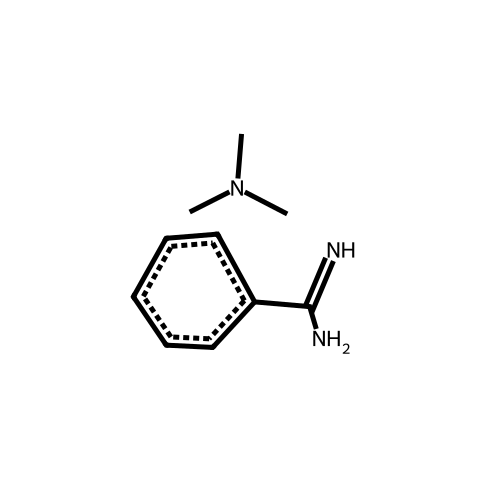 CN(C)C.N=C(N)c1ccccc1